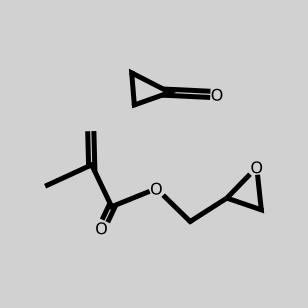 C=C(C)C(=O)OCC1CO1.O=C1CC1